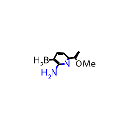 Bc1ccc(C(=C)OC)nc1N